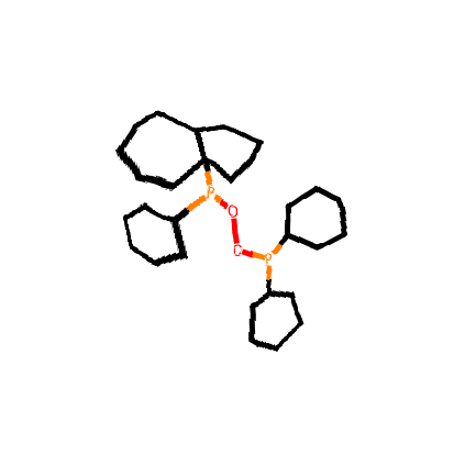 C1CCC(P(OOP(C2CCCCC2)C23CCCCCC2CCCC3)C2CCCCC2)CC1